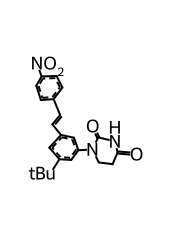 CC(C)(C)c1cc(C=Cc2ccc([N+](=O)[O-])cc2)cc(N2CCC(=O)NC2=O)c1